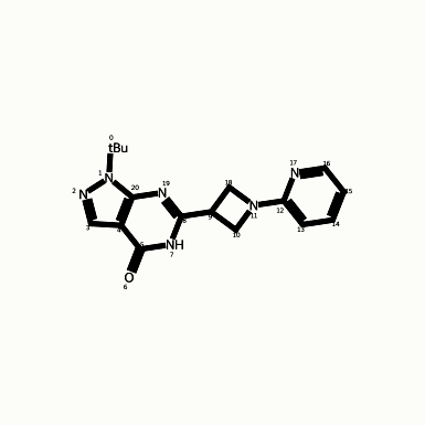 CC(C)(C)n1ncc2c(=O)[nH]c(C3CN(c4ccccn4)C3)nc21